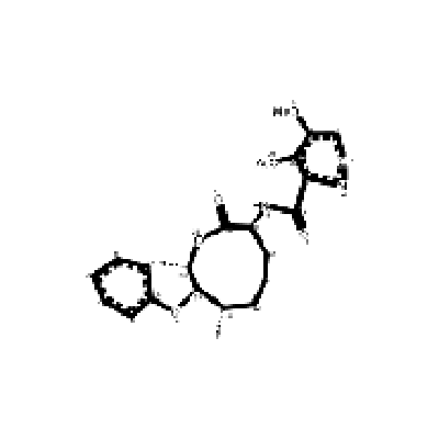 COc1ccnc(C(=O)N[C@H]2CCC[C@H](C)[C@@H](Oc3ccccc3)[C@H](C)OC2=O)c1OC(C)=O